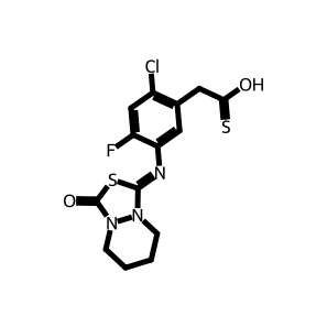 O=c1sc(=Nc2cc(CC(O)=S)c(Cl)cc2F)n2n1CCCC2